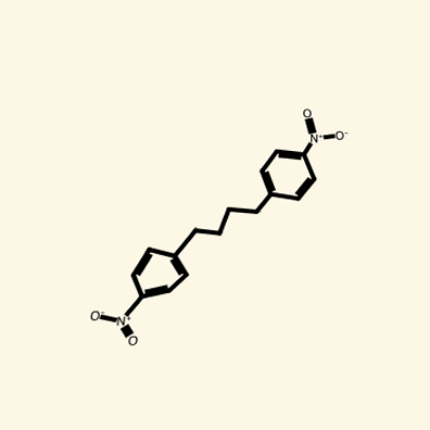 O=[N+]([O-])c1ccc([CH]CC[CH]c2ccc([N+](=O)[O-])cc2)cc1